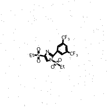 CCS(=O)(=O)c1cn(S(=O)(=O)CC)c(-c2cc(C(F)(F)F)cc(C(F)(F)F)c2)n1